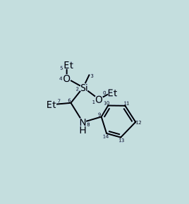 CCO[Si](C)(OCC)C(CC)Nc1ccccc1